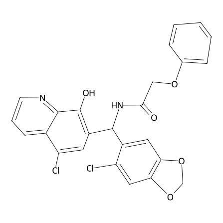 O=C(COc1ccccc1)NC(c1cc2c(cc1Cl)OCO2)c1cc(Cl)c2cccnc2c1O